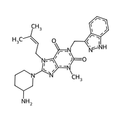 CC(C)=CCn1c(N2CCCC(N)C2)nc2c1c(=O)n(Cc1n[nH]c3ccccc13)c(=O)n2C